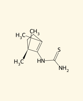 CC1(C)C2=C(NC(N)=S)[C@]1(C)CC2